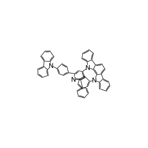 c1ccc(-c2cc(-n3c4ccccc4c4ccc5c6ccccc6n(-c6ccccc6)c5c43)cc(-c3ccc(-n4c5ccccc5c5ccccc54)cc3)n2)cc1